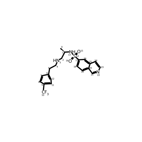 C[C@H](CNCCc1ccc(C(F)(F)F)cc1)NS(=O)(=O)c1ccc2cnccc2c1